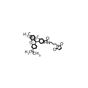 C=c1ccc2c(c1)Oc1cc(N(C)C)ccc1C=2c1ccc(C(=O)NCCCN2C(=O)C=CC2=O)cc1C(=O)O